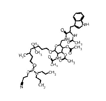 CCCN(CCC)P(OCCC#N)OCCC(C)CC(C)(C)CCCOC1OC(CNC(=O)C(Cc2c[nH]c3ccccc23)NC(C)=O)C(OC(C)=O)C(OC(C)=O)C1NC(C)=O